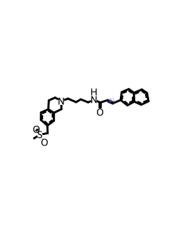 CS(=O)(=O)Cc1ccc2c(c1)CN(CCCCNC(=O)/C=C/c1ccc3ccccc3c1)CC2